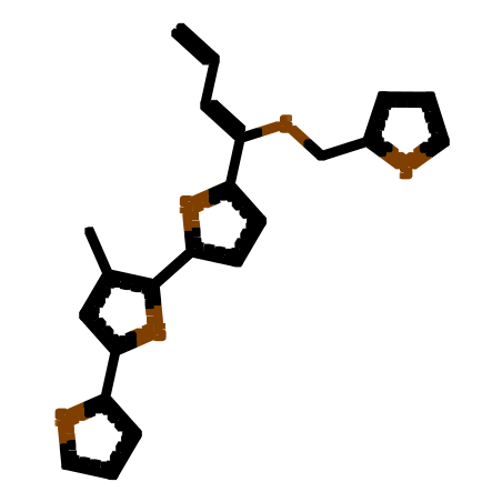 C=C/C=C(\SCc1cccs1)c1ccc(-c2sc(-c3cccs3)cc2C)s1